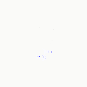 C/C(=C\NN)c1ccccc1C(F)(F)F